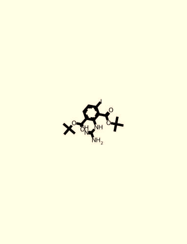 CC(C)(C)OC(=O)c1ccc(I)c(C(=O)OC(C)(C)C)c1NC(=N)N